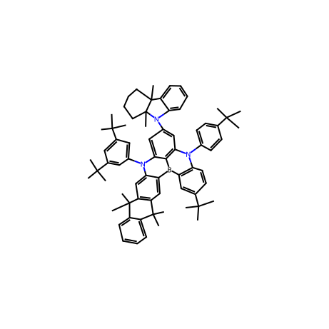 CC(C)(C)c1ccc(N2c3ccc(C(C)(C)C)cc3B3c4cc5c(cc4N(c4cc(C(C)(C)C)cc(C(C)(C)C)c4)c4cc(N6c7ccccc7C7(C)CCCCC67C)cc2c43)C(C)(C)c2ccccc2C5(C)C)cc1